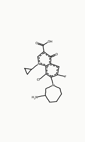 NC1CCCCN(c2c(F)cc3c(=O)c(C(=O)O)cn(C4CC4)c3c2Cl)C1